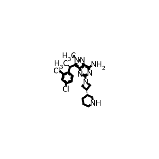 C[C@H](c1ccc(Cl)cc1Cl)c1c2nc(N3CC([C@H]4CCCNC4)C3)nc(N)c2nn1C